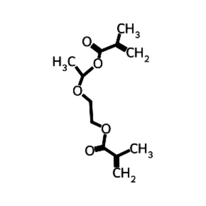 C=C(C)C(=O)OCCOC(C)OC(=O)C(=C)C